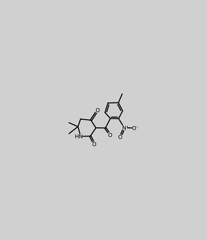 Cc1ccc(C(=O)C2C(=O)CC(C)(C)NC2=O)c([N+](=O)[O-])c1